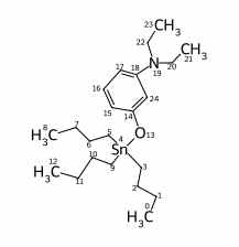 CCC[CH2][Sn]([CH2]CCC)([CH2]CCC)[O]c1cccc(N(CC)CC)c1